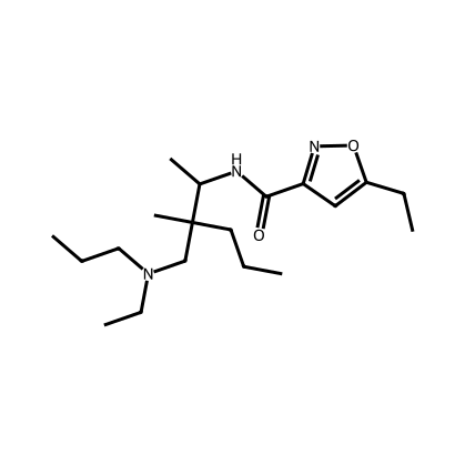 CCCN(CC)CC(C)(CCC)C(C)NC(=O)c1cc(CC)on1